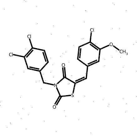 COc1cc(C=C2SC(=O)N(Cc3ccc(Cl)c(Cl)c3)C2=O)ccc1Cl